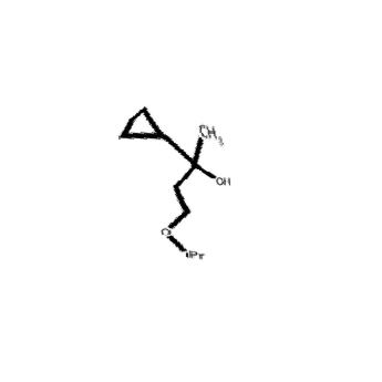 CC(C)OCCC(C)(O)C1CC1